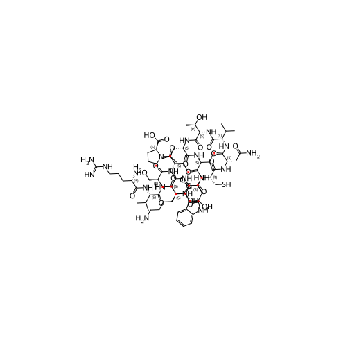 CC(C)C[C@H](NC(=O)[C@@H](NC(=O)[C@@H](NC(=O)[C@H](CC(N)=O)NC(=O)[C@H](CS)NC(=O)[C@H](Cc1c[nH]c2ccccc12)NC(=O)[C@H](CC(=O)O)NC(=O)[C@@H](NC(=O)[C@@H](N)CCCNC(=N)N)C(C)C)C(C)C)[C@@H](C)O)C(=O)N[C@H](C(=O)N[C@@H](CC(=O)O)C(=O)N[C@@H](CCCCN)C(=O)N[C@@H](CO)C(=O)N[C@H](C(=O)N1CCC[C@H]1C(=O)O)C(C)C)C(C)C